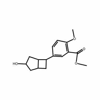 COC(=O)c1cc(C2CC3CC(O)CC32)ccc1OC